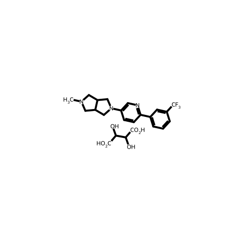 CN1CC2CN(c3ccc(-c4cccc(C(F)(F)F)c4)nc3)CC2C1.O=C(O)C(O)C(O)C(=O)O